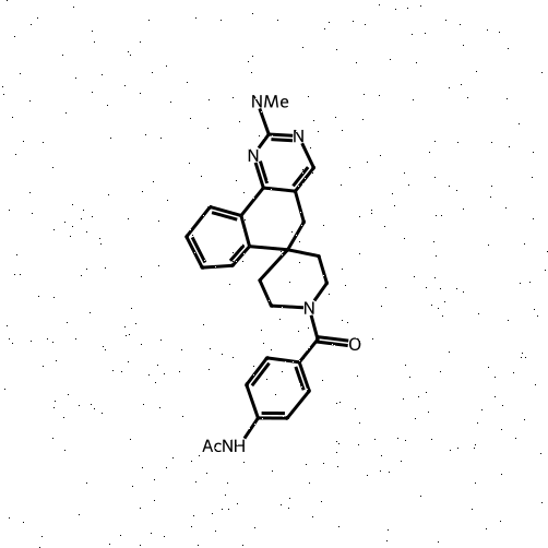 CNc1ncc2c(n1)-c1ccccc1C1(CCN(C(=O)c3ccc(NC(C)=O)cc3)CC1)C2